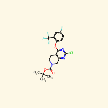 CC(C)(C)OC(=O)N1CCc2c(nc(Cl)nc2Oc2ccc(F)cc2C(F)(F)F)C1